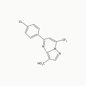 O=C(O)c1cnn2c(C(F)(F)F)cc(-c3ccc(Cl)cc3)nc12